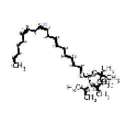 CCCCC/C=C\C/C=C\CCCCCCCCOP(OC(C)(C)C)N(C(C)C)C(C)C